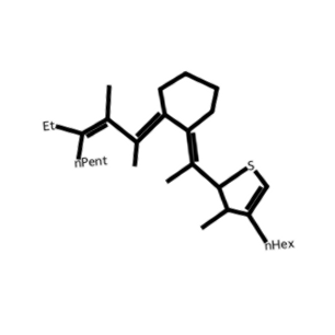 CCCCCCC1=CSC(\C(C)=C2/CCCC/C2=C(C)\C(C)=C(\CC)CCCCC)C1C